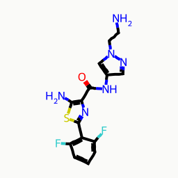 NCCn1cc(NC(=O)c2nc(-c3c(F)cccc3F)sc2N)cn1